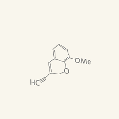 C#CC1=Cc2cccc(OC)c2OC1